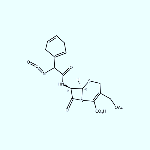 CC(=O)OCC1=C(C(=O)O)N2C(=O)[C@@H](NC(=O)C(N=C=O)C3=CCC=CC3)[C@H]2SC1